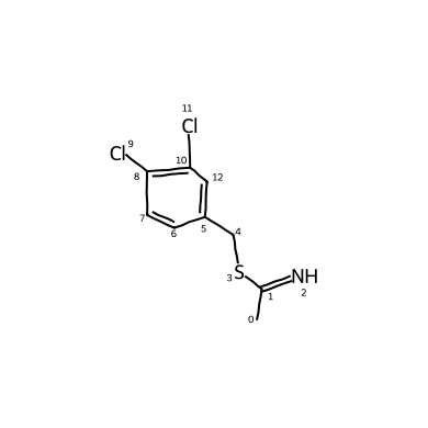 CC(=N)SCc1ccc(Cl)c(Cl)c1